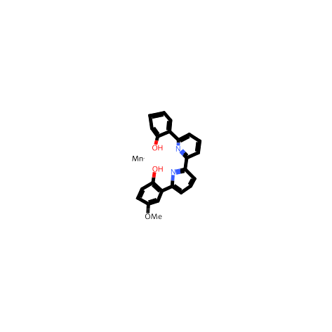 COc1ccc(O)c(-c2cccc(-c3cccc(-c4ccccc4O)n3)n2)c1.[Mn]